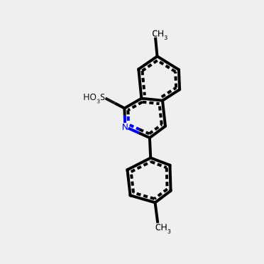 Cc1ccc(-c2cc3ccc(C)cc3c(S(=O)(=O)O)n2)cc1